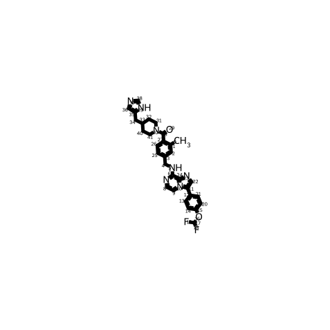 Cc1cc(CNc2nccn3c(-c4ccc(OC(F)F)cc4)cnc23)ccc1C(=O)N1CCC(Cc2cnc[nH]2)CC1